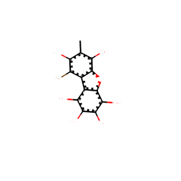 Cc1c(O)c(Br)c2c(oc3c(O)c(O)c(O)c(O)c32)c1O